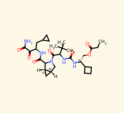 CCC(=O)OC[C@@H](NC(=O)NC(C(=O)N1C[C@@H]2C[C@@H]2C1C(=O)NC(CC1CC1)C(=O)C(N)=O)C(C)(C)C)C1CCC1